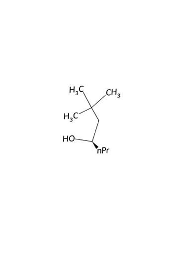 CCC[C@@H](O)CC(C)(C)C